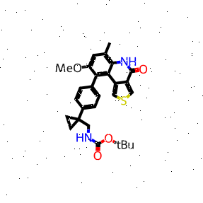 COc1cc(C)c2[nH]c(=O)c3cscc3c2c1-c1ccc(C2(CNC(=O)OC(C)(C)C)CC2)cc1